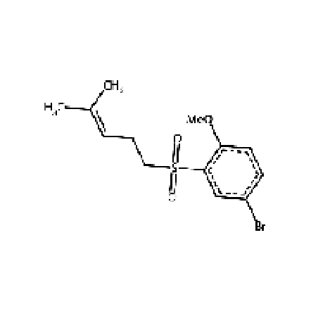 COc1ccc(Br)cc1S(=O)(=O)CCC=C(C)C